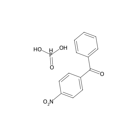 O=C(c1ccccc1)c1ccc([N+](=O)[O-])cc1.O=[PH](O)O